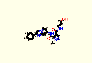 Cn1ncc(C(=O)NCCCO)c1C(=O)Nc1ccn2cc(-c3ccccc3)nc2c1